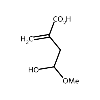 C=C(CC(O)OC)C(=O)O